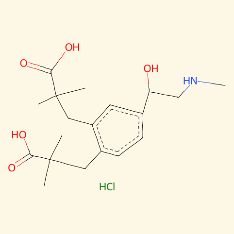 CNCC(O)c1ccc(CC(C)(C)C(=O)O)c(CC(C)(C)C(=O)O)c1.Cl